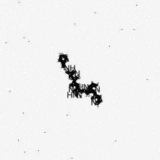 c1cncc(-c2nccc3[nH]c(-c4n[nH]c5ncc(-c6cncc(CNCC7CCCC7)c6)cc45)cc23)c1